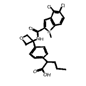 CCCC(C(=O)O)c1ccc(C2(NC(=O)c3cc4c(Cl)c(Cl)ccc4n3C)COC2)cc1